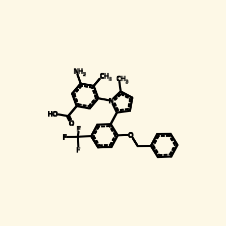 Cc1c(N)cc(C(=O)O)cc1-n1c(C)ccc1-c1cc(C(F)(F)F)ccc1OCc1ccccc1